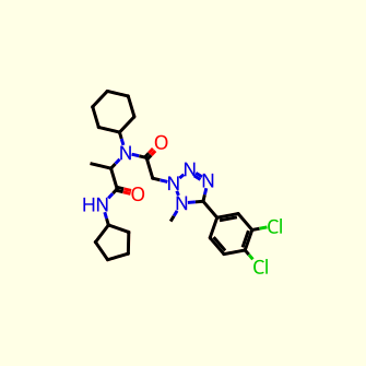 CC(C(=O)NC1CCCC1)N(C(=O)CN1N=NC(c2ccc(Cl)c(Cl)c2)N1C)C1CCCCC1